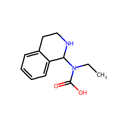 CCN(C(=O)O)C1NCCc2ccccc21